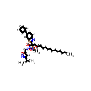 CCCCCCCCCCCCCCC(C(=O)NCc1cc(C(C)C)no1)(c1nc2ccc(-c3ccccc3)cc2s1)S(C)(=O)=O